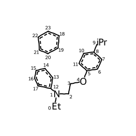 CCN(CCOc1ccc(C(C)C)cc1)c1ccccc1.c1ccccc1